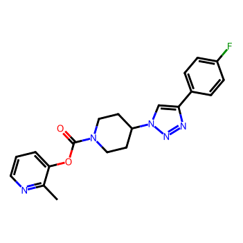 Cc1ncccc1OC(=O)N1CCC(n2cc(-c3ccc(F)cc3)nn2)CC1